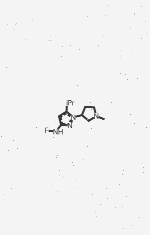 CC(C)c1cc(NF)nn1C1CCN(C)C1